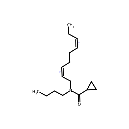 CC/C=C\CC/C=C\CN(CCCC)C(=O)C1CC1